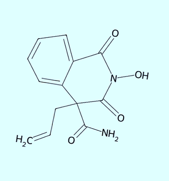 C=CCC1(C(N)=O)C(=O)N(O)C(=O)c2ccccc21